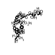 CC(C)CCC[C@@H](C)[C@H]1CC[C@H]2[C@@H]3CC=C4C[C@@H](OC(=O)NC(Cc5ccc(OP(=O)(O)O)cc5)C(=O)N[C@H](CCCCNC(=O)CCC(=O)C5OC(n6cc(F)c(=O)[nH]c6=O)CC5O)C(=O)NC(Cc5ccc(OP(=O)(O)O)cc5)C(=O)O)CC[C@]4(C)[C@H]3CC[C@]12C